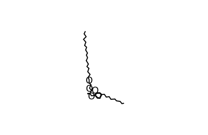 C=C(Oc1ccc(CCCCCCCCC)cc1)C(=O)OCCOCCCCCCCCCCCCCCCCCC